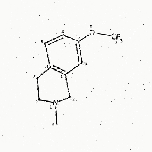 CN1CCc2ccc(OC(F)(F)F)cc2C1